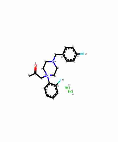 CC(=O)C[N+]1(c2ccccc2F)CCN(Cc2ccc(F)cc2)CC1.Cl.Cl